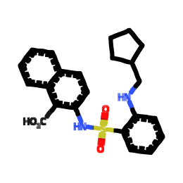 O=C(O)c1c(NS(=O)(=O)c2ccccc2NCC2CCCC2)ccc2ccccc12